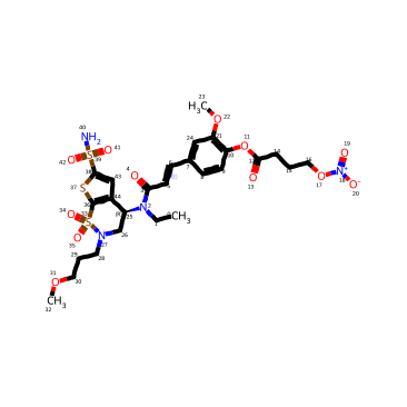 CCN(C(=O)/C=C/c1ccc(OC(=O)CCCO[N+](=O)[O-])c(OC)c1)[C@H]1CN(CCCOC)S(=O)(=O)c2sc(S(N)(=O)=O)cc21